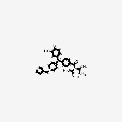 CC(C)N(C(=O)c1ccc(C(c2ccc(F)c(O)c2)N2CCN(Cc3ccsc3)CC2)cc1)C(C)C